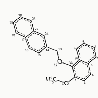 COc1ccc2ccccc2c1OCc1ccc2ccccc2c1